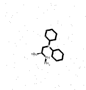 CCCC[C@@H](CP(C1CCCCC1)C1CCCCC1)PP